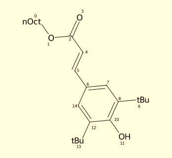 CCCCCCCCOC(=O)C=Cc1cc(C(C)(C)C)c(O)c(C(C)(C)C)c1